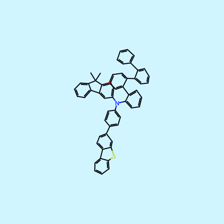 CC1(C)c2ccccc2-c2cc(N(c3ccc(-c4ccc5c(c4)sc4ccccc45)cc3)c3ccccc3-c3ccccc3-c3ccccc3-c3ccccc3)ccc21